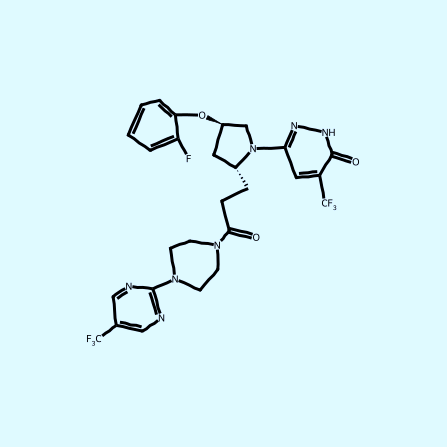 O=C(CC[C@@H]1C[C@@H](Oc2ccccc2F)CN1c1cc(C(F)(F)F)c(=O)[nH]n1)N1CCN(c2ncc(C(F)(F)F)cn2)CC1